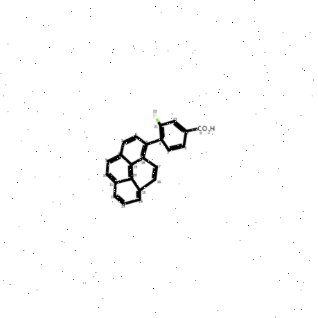 O=C(O)c1ccc(-c2ccc3ccc4cccc5ccc2c3c45)c(F)c1